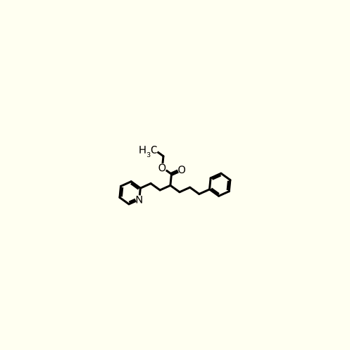 CCOC(=O)C(CCCc1ccccc1)CCc1ccccn1